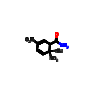 CCCCC1([N+](=O)[O-])C=CC([N+](=O)[O-])=CC1C(N)=O